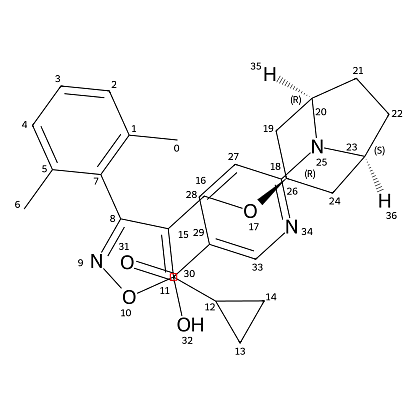 Cc1cccc(C)c1-c1noc(C2CC2)c1CO[C@H]1C[C@H]2CC[C@@H](C1)N2c1ccc(C(=O)O)cn1